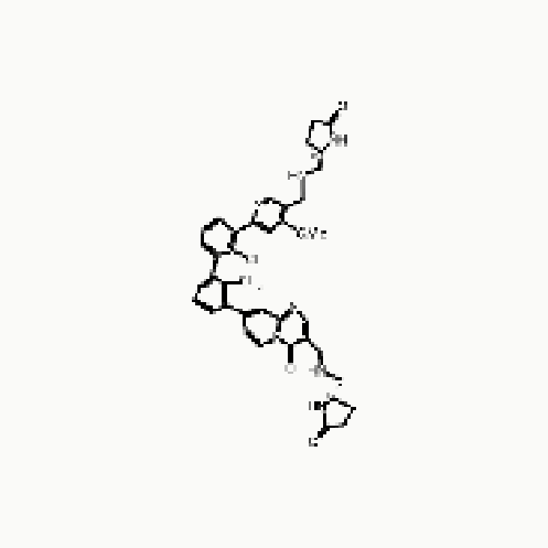 COc1cc(-c2cccc(-c3cccc(-c4ccn5c(=O)c(CNC[C@@H]6CCC(=O)N6)cnc5c4)c3C)c2Cl)ncc1CNC[C@H]1CCC(=O)N1